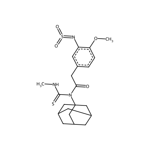 CNC(=S)N(C(=O)Cc1ccc(OC)c(N=S(=O)=O)c1)C12CC3CC(CC(C3)C1)C2